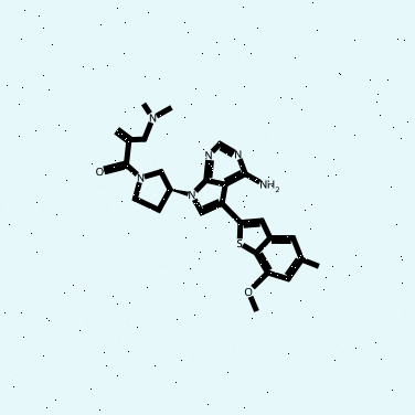 C=C(CN(C)C)C(=O)N1CC[C@H](n2cc(-c3cc4cc(C)cc(OC)c4s3)c3c(N)ncnc32)C1